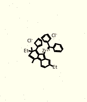 CCc1ccc2c(c1)=[C]([Zr+2]=[C](c1ccccc1)c1ccccc1)C1=C(C3=CC=CC3)C(C)(CC)C=C(C)C=21.[Cl-].[Cl-]